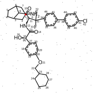 NC1CC2CCC(C1)C2C(=O)[C@H](NC(=O)[C@H](O)c1ccc(OCC2CCCCC2)cc1)C(F)(F)c1ccc(-c2ccc(Cl)cc2)cc1